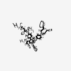 COCC(=O)N(C)c1ccc(C(c2c(C)csc2[N+](=O)[O-])S(=O)(=O)Oc2ccc(N(CCCl)CCCl)cc2)cn1